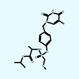 COCP(=O)(NC(C)C(=O)OC(C)C)Oc1ccc(Cn2cc(F)c(=O)[nH]c2=O)cc1